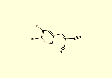 N#CC(C#N)=Cc1ccc(Br)c(F)c1